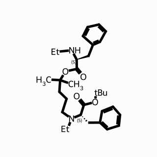 CCN[C@@H](Cc1ccccc1)C(=O)OC(C)(C)CCCN(CC)[C@@H](Cc1ccccc1)C(=O)OC(C)(C)C